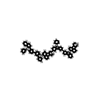 c1ccc(-n2c3ccc(-c4ccc5c6ccccc6n(-c6ccc7c8c(cccc68)-c6cnccc6-7)c5c4)cc3c3cc(-c4cc5c(cn4)-c4cccc6c(-n7c8ccccc8c8cc(-c9ccc%10c(c9)c9ccc%11ccccc%11c9n%10-c9ccccc9)ccc87)ccc-5c46)ccc32)cc1